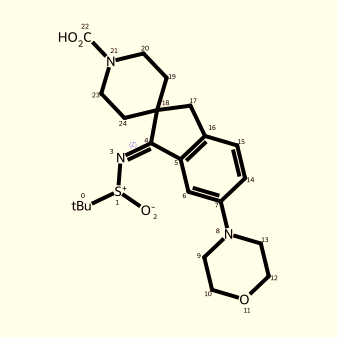 CC(C)(C)[S+]([O-])/N=C1\c2cc(N3CCOCC3)ccc2CC12CCN(C(=O)O)CC2